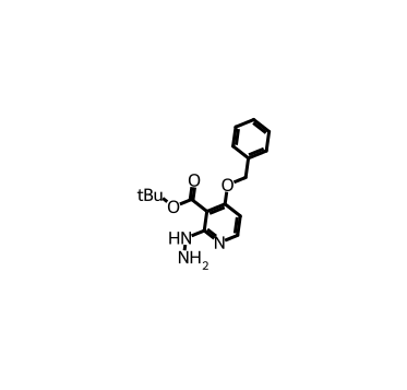 CC(C)(C)OC(=O)c1c(OCc2ccccc2)ccnc1NN